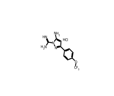 Cl.N=C(N)n1nc(-c2ccc(OC(F)(F)F)cc2)cc1N